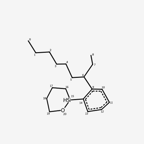 CCCCCCC(CC)c1ccccc1[SiH]1CCCCO1